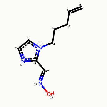 C=CCCCn1ccnc1/C=N/O